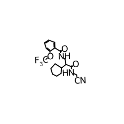 N#CCNC(=O)C(CNC(=O)c1ccccc1OC(F)(F)F)C1CCCCC1